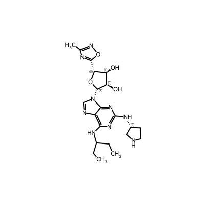 CCC(CC)Nc1nc(N[C@@H]2CCNC2)nc2c1ncn2[C@@H]1O[C@H](c2nc(C)no2)[C@@H](O)[C@H]1O